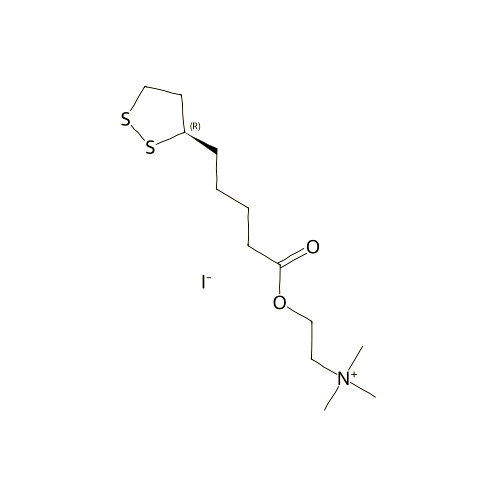 C[N+](C)(C)CCOC(=O)CCCC[C@@H]1CCSS1.[I-]